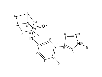 Cc1ccc(NC(=O)N2C3CC(C)CC2C3)cc1-c1cnn(C)n1